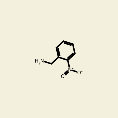 NCc1c[c]ccc1[N+](=O)[O-]